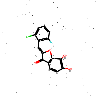 O=C1C(=Cc2c(F)cccc2Cl)Oc2c1ccc(O)c2O